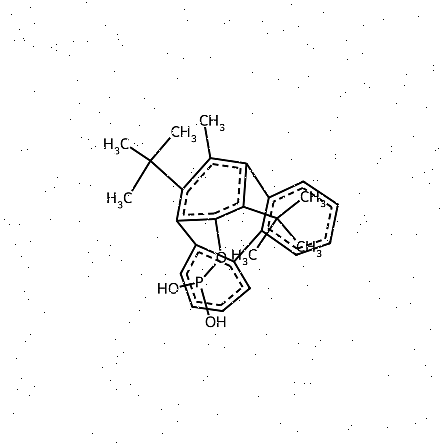 Cc1c2c(C(C)(C)C)c(OP(O)O)c(c1C(C)(C)C)-c1ccccc1-c1ccccc1-2